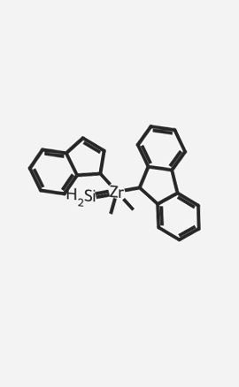 [CH3][Zr]([CH3])(=[SiH2])([CH]1C=Cc2ccccc21)[CH]1c2ccccc2-c2ccccc21